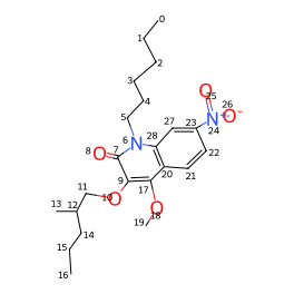 CCCCCCn1c(=O)c(OCC(C)CCC)c(OC)c2ccc([N+](=O)[O-])cc21